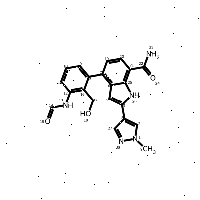 Cn1cc(-c2cc3c(-c4cccc(NC=O)c4CO)ccc(C(N)=O)c3[nH]2)cn1